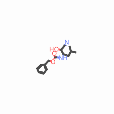 CC(C)CC(NC(=O)OCc1ccccc1)C(O)C#N